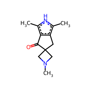 Cc1[nH]c(C)c2c1CC1(CN(C)C1)C2=O